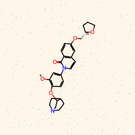 COc1cc(-n2ccc3cc(OC[C@@H]4CCCO4)ccc3c2=O)ccc1OC1CN2CCC1CC2